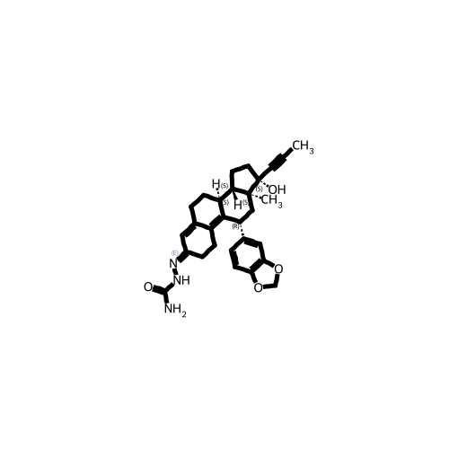 CC#C[C@]1(O)CC[C@H]2[C@@H]3CCC4=C/C(=N/NC(N)=O)CCC4=C3[C@@H](c3ccc4c(c3)OCO4)C[C@@]21C